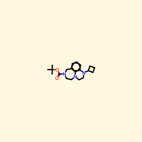 CC(C)(C)OC(=O)N1CCN2CCN(C3CCC3)c3cccc(c32)C1